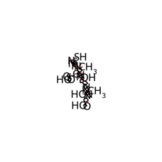 Cc1cc(N=Nc2ccc3cc(N=Nc4c(C)nn(-c5ccc(C(=O)O)cc5)c4O)ccc3c2O)c(OCCCS(=O)(=O)O)cc1N=Nc1nnc(CS)s1